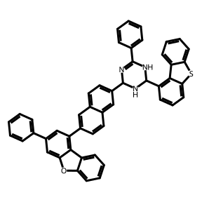 c1ccc(C2=NC(c3ccc4cc(-c5cc(-c6ccccc6)cc6oc7ccccc7c56)ccc4c3)NC(c3cccc4sc5ccccc5c34)N2)cc1